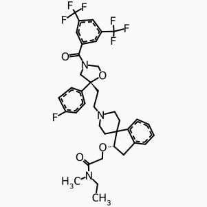 CCN(C)C(=O)CO[C@H]1Cc2ccccc2C12CCN(CC[C@@]1(c3ccc(F)cc3)CN(C(=O)c3cc(C(F)(F)F)cc(C(F)(F)F)c3)CO1)CC2